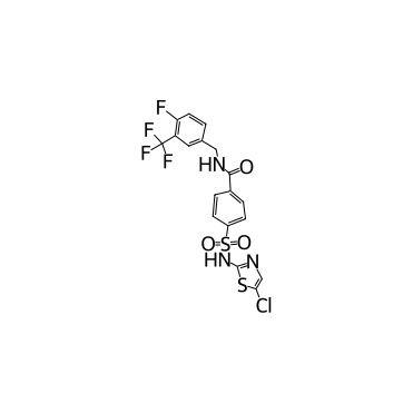 O=C(NCc1ccc(F)c(C(F)(F)F)c1)c1ccc(S(=O)(=O)Nc2ncc(Cl)s2)cc1